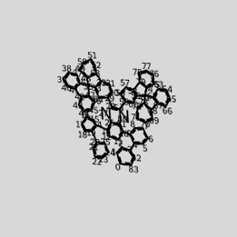 c1ccc(-c2ccccc2-c2ccc(-c3ccccc3-c3ccccc3)c3nc(-c4ccc5c(c4)C4(c6ccccc6-c6ccccc64)c4ccccc4-5)c(-c4ccc5c(c4)C4(c6ccccc6-c6ccccc64)c4ccccc4-5)nc23)cc1